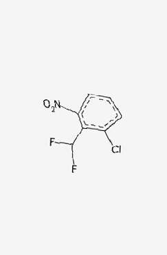 O=[N+]([O-])c1cccc(Cl)c1C(F)F